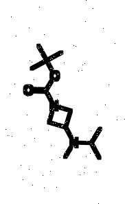 CC(C)N(C)C1CN(C(=O)OC(C)(C)C)C1